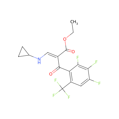 CCOC(=O)/C(=C/NC1CC1)C(=O)c1c(C(F)(F)F)cc(F)c(F)c1F